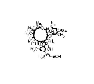 C#CCCN(C)[C@H]1C[C@@H](C)O[C@@H](O[C@@H]2[C@@H](C)[C@H](OC3C[C@@](C)(OC)C[C@H](C)O3)[C@@H](C)C(=O)O[C@H](CC)[C@@](C)(O)[C@H](O)[C@@H](C)C(=O)[C@H](C)C[C@@]2(C)O)[C@@H]1O